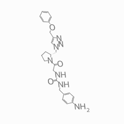 Nc1ccc(CNC(=O)NCC(=O)N2CCC[C@@H]2Cn2cc(COc3ccccc3)nn2)cc1